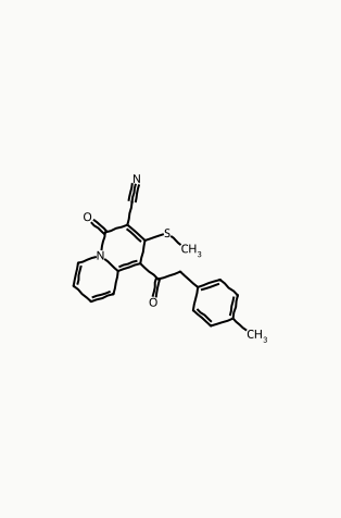 CSc1c(C#N)c(=O)n2ccccc2c1C(=O)Cc1ccc(C)cc1